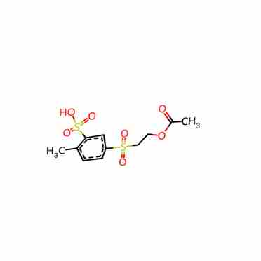 CC(=O)OCCS(=O)(=O)c1ccc(C)c(S(=O)(=O)O)c1